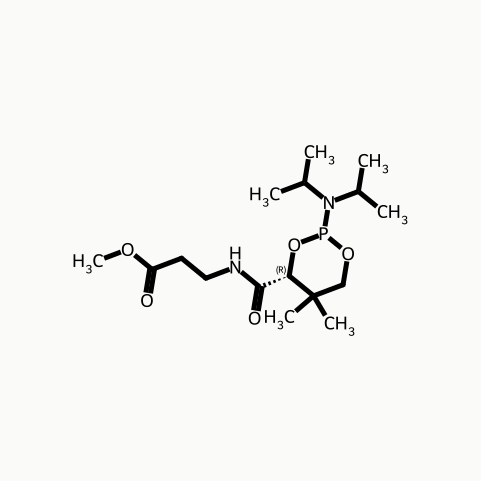 COC(=O)CCNC(=O)[C@@H]1OP(N(C(C)C)C(C)C)OCC1(C)C